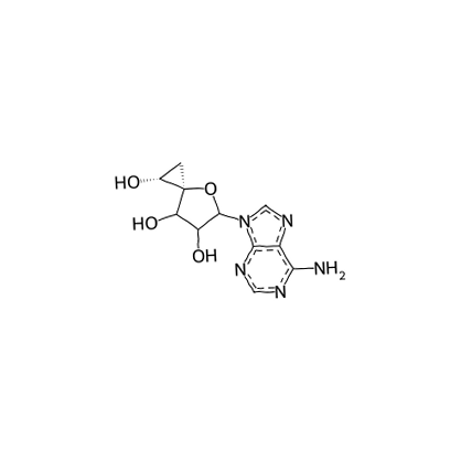 Nc1ncnc2c1ncn2C1O[C@@]2(C[C@H]2O)C(O)C1O